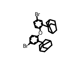 Brc1ccc(Oc2ccc(Br)cc2C23CC4CC(CC(C4)C2)C3)c(C23CC4CC(CC(C4)C2)C3)c1